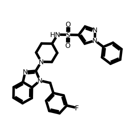 O=S(=O)(NC1CCN(c2nc3ccccc3n2Cc2cccc(F)c2)CC1)c1cnn(-c2ccccc2)c1